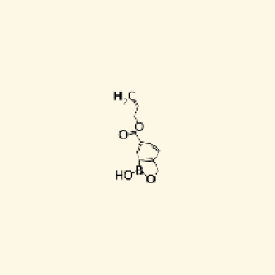 C=CCOC(=O)c1ccc2c(c1)B(O)OC2